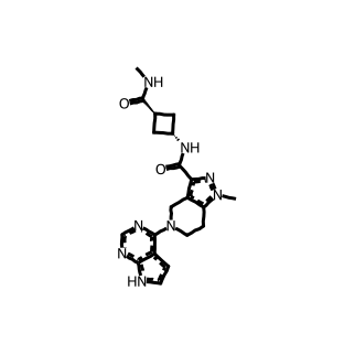 CNC(=O)[C@H]1C[C@H](NC(=O)c2nn(C)c3c2CN(c2ncnc4[nH]ccc24)CC3)C1